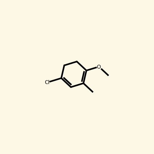 COC1=C(C)C=C(Cl)CC1